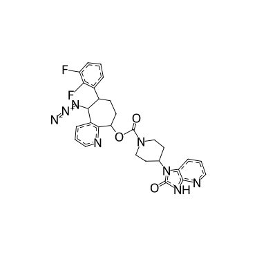 [N-]=[N+]=NC1c2cccnc2C(OC(=O)N2CCC(n3c(=O)[nH]c4ncccc43)CC2)CCC1c1cccc(F)c1F